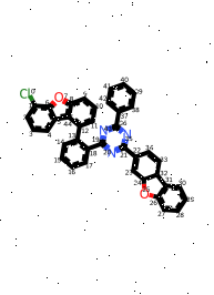 Clc1cccc2c1oc1cccc(-c3ccccc3-c3nc(C4=CC5Oc6ccccc6C5C=C4)nc(-c4ccccc4)n3)c12